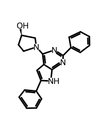 O[C@@H]1CCN(c2nc(-c3ccccc3)nc3[nH]c(-c4ccccc4)cc23)C1